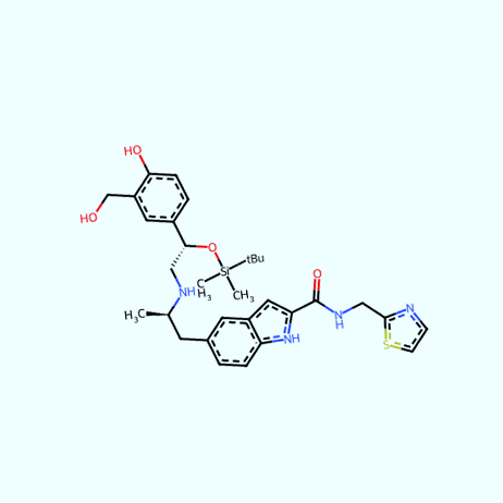 C[C@H](Cc1ccc2[nH]c(C(=O)NCc3nccs3)cc2c1)NC[C@@H](O[Si](C)(C)C(C)(C)C)c1ccc(O)c(CO)c1